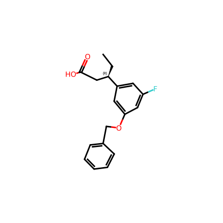 CC[C@H](CC(=O)O)c1cc(F)cc(OCc2ccccc2)c1